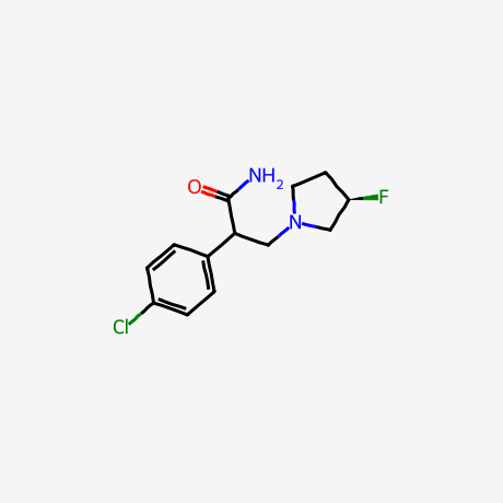 NC(=O)C(CN1CC[C@@H](F)C1)c1ccc(Cl)cc1